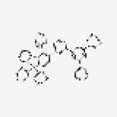 c1ccc(-c2cc(-c3cccc(-c4ccc5c(c4-c4ccccn4)-c4ccccc4C5(c4ccccc4)c4ccccc4)c3)nc(-c3ccccc3)n2)cc1